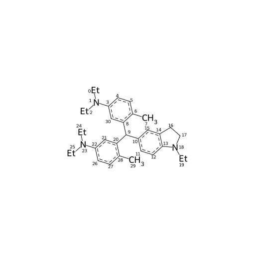 CCN(CC)c1ccc(C)c(C(c2ccc3c(c2)CCN3CC)c2cc(N(CC)CC)ccc2C)c1